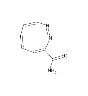 NC(=O)C1=CC=CC=CN=N1